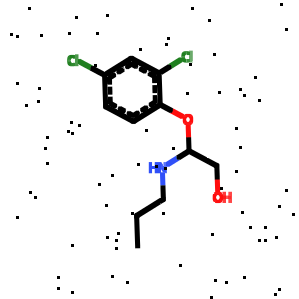 CCCNC(CO)Oc1ccc(Cl)cc1Cl